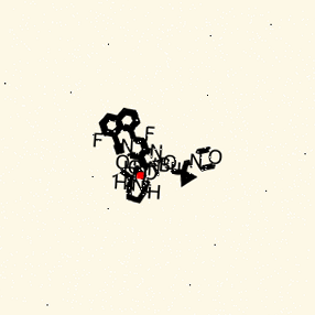 C#Cc1c(F)ccc2cccc(-c3nc4c5c(nc(OCC6(CN7CCOCC7)CC6)nc5c3F)N3C[C@H]5CC[C@@H]([C@H]3[C@H](C)O4)N5C(=O)OC(C)(C)C)c12